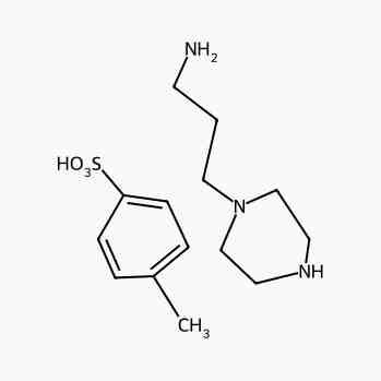 Cc1ccc(S(=O)(=O)O)cc1.NCCCN1CCNCC1